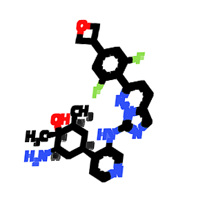 C[C@H]1C[C@@H](c2ccncc2Nc2ncc3ccc(-c4c(F)cc(C5COC5)cc4F)nn23)C[C@@H](N)[C@]1(C)O